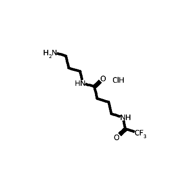 Cl.NCCCNC(=O)CCCNC(=O)C(F)(F)F